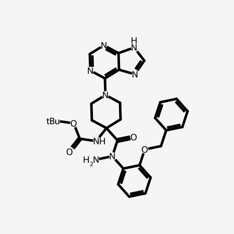 CC(C)(C)OC(=O)NC1(C(=O)N(N)c2ccccc2OCc2ccccc2)CCN(c2ncnc3[nH]cnc23)CC1